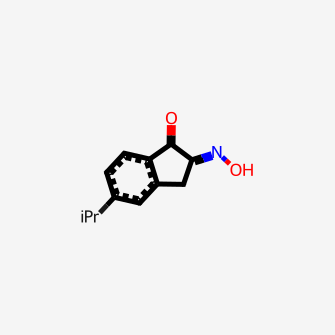 CC(C)c1ccc2c(c1)CC(=NO)C2=O